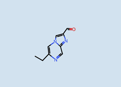 CCc1cn2cc(C=O)nc2cn1